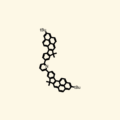 CC(C)(C)c1cc2ccc3cc4c(c5ccc(c1)c2c35)-c1ccc(-c2cccc(-c3ccc5c(c3)C(C)(C)c3cc6ccc7cc(C(C)(C)C)cc8ccc(c3-5)c6c78)n2)cc1C4(C)C